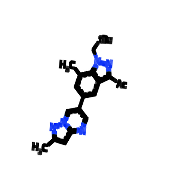 CC(=O)c1nn(CC(C)(C)C)c2c(C)cc(-c3cnc4cc(C)nn4c3)cc12